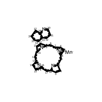 C1=Cc2cc3ccc(cc4nc(cc5ccc(cc1n2)[nH]5)C=C4)[nH]3.[Mn].c1ccc2ncccc2c1